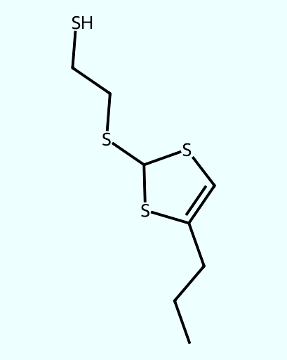 CCCC1=CSC(SCCS)S1